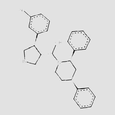 OC([C@@H]1CNC[C@H]1c1cccc(Br)c1)N1CC[C@H](c2ccccc2)C[C@@H]1c1ccccc1